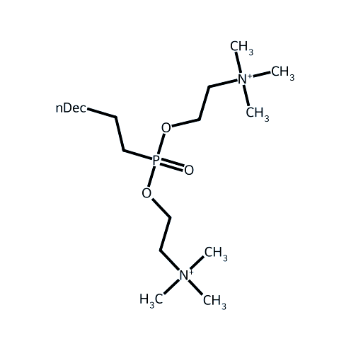 CCCCCCCCCCCCP(=O)(OCC[N+](C)(C)C)OCC[N+](C)(C)C